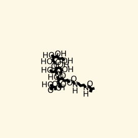 C=C(C)C(=O)NCCCNC(=O)OCC1O[C@@H]2OC(C)(C(=O)O)OC2C(O)[C@@H]1O[C@@H]1OC(CO)[C@H](O[C@H]2OC(CO)[C@H](O)C(O)C2O)C(O)C1O